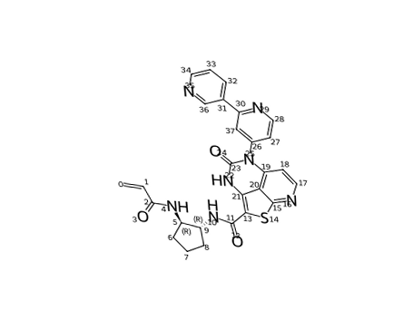 C=CC(=O)N[C@@H]1CCC[C@H]1NC(=O)c1sc2nccc3c2c1NC(=O)N3c1ccnc(-c2cccnc2)c1